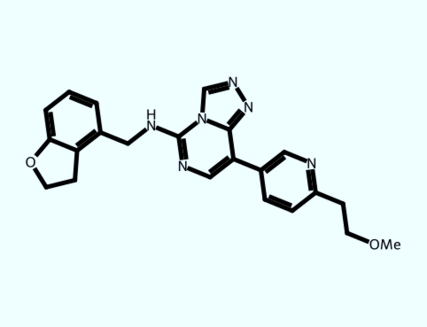 COCCc1ccc(-c2cnc(NCc3cccc4c3CCO4)n3cnnc23)cn1